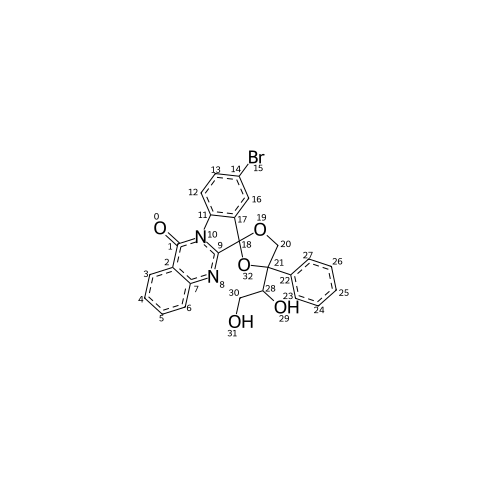 O=c1c2ccccc2nc2n1-c1ccc(Br)cc1C21OCC(c2ccccc2)(C(O)CO)O1